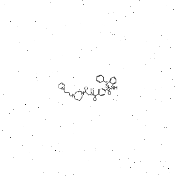 O=C(NCC(=O)N1CCCN(CCCN2CCCC2)CC1)c1ccc(S(=O)(=O)Nc2ccccc2Sc2ccccc2)cc1